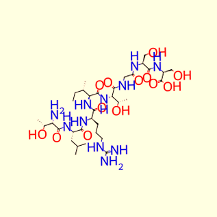 CC[C@H](C)[C@H](NC(=O)[C@@H](CCCNC(=N)N)NC(=O)[C@H](CC(C)C)NC(=O)[C@@H](N)[C@@H](C)O)C(=O)N[C@H](C(=O)NCC(=O)N[C@@H](CO)C(=O)N[C@@H](CO)C(=O)O)[C@H](C)O